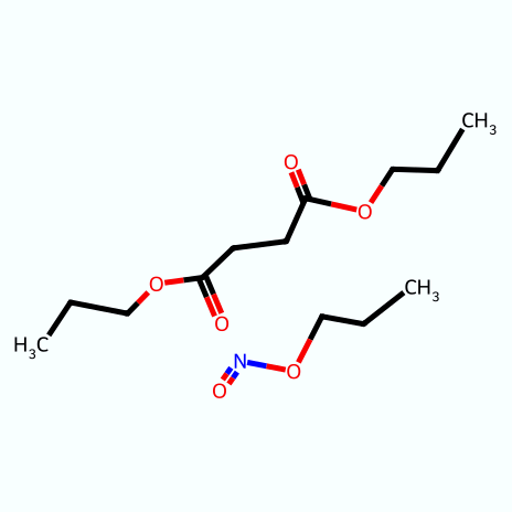 CCCOC(=O)CCC(=O)OCCC.CCCON=O